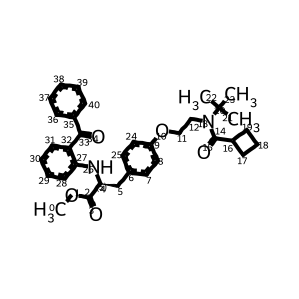 COC(=O)[C@H](Cc1ccc(OCCN(C(=O)C2CCC2)C(C)(C)C)cc1)Nc1ccccc1C(=O)c1ccccc1